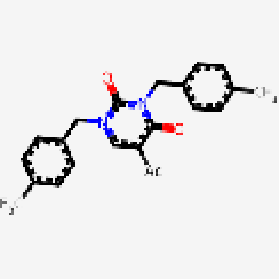 CC(=O)c1cn(Cc2ccc(C(F)(F)F)cc2)c(=O)n(Cc2ccc(C(F)(F)F)cc2)c1=O